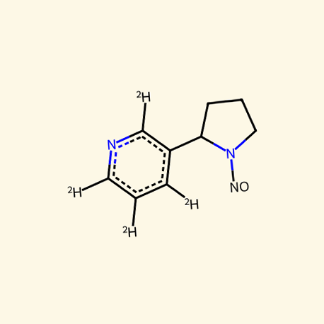 [2H]c1nc([2H])c(C2CCCN2N=O)c([2H])c1[2H]